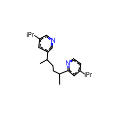 CC(C)c1cncc(C(C)CCC(C)c2cc(C(C)C)ccn2)c1